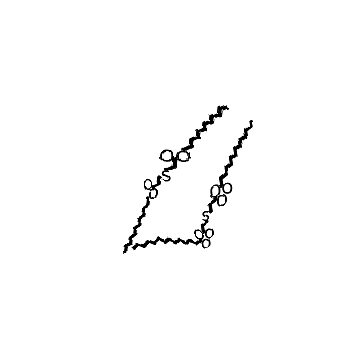 CCCCCCCCCCCCCC(=O)OC(=O)CCSCCC(=O)OC(=O)CCCCCCCCCCCCC.CCCCCCCCCCCCOC(=O)CCSCCC(=O)OCCCCCCCCCCCC